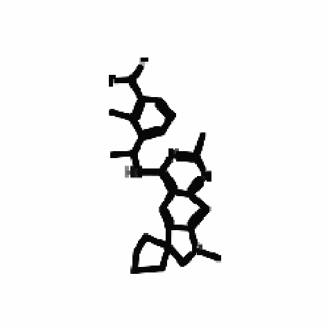 Cc1nc(NC(C)c2cccc(C(F)F)c2C)c2cc3c(cc2n1)N(C)CC31CCCC1